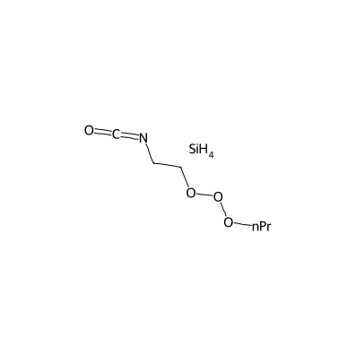 CCCOOOCCN=C=O.[SiH4]